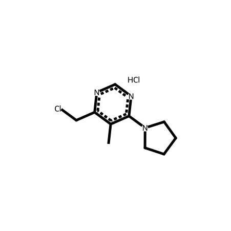 Cc1c(CCl)ncnc1N1CCCC1.Cl